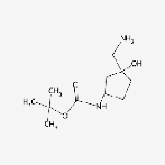 CC(C)(C)OC(=O)NC1CCC(O)(CN)C1